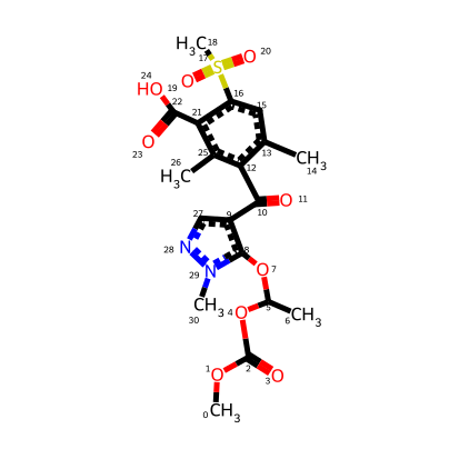 COC(=O)OC(C)Oc1c(C(=O)c2c(C)cc(S(C)(=O)=O)c(C(=O)O)c2C)cnn1C